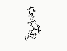 CS(=O)(=O)NCC(NC(=O)OCc1ccccc1)C(=O)O